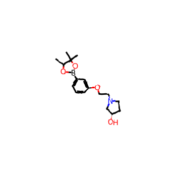 CC1OB(c2cccc(OCCN3CC[C@H](O)C3)c2)OC1(C)C